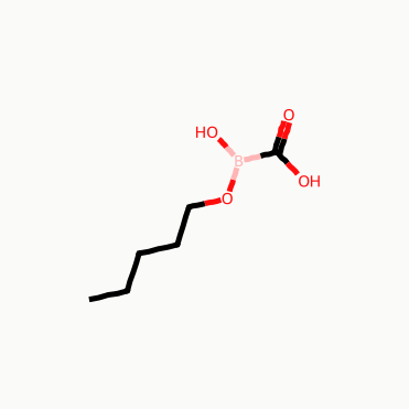 CCCCCOB(O)C(=O)O